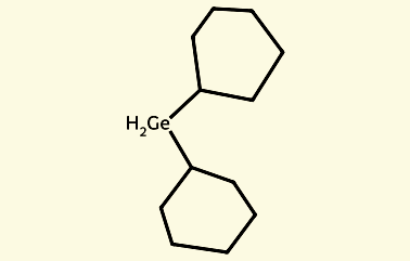 C1CC[CH]([GeH2][CH]2CCCCC2)CC1